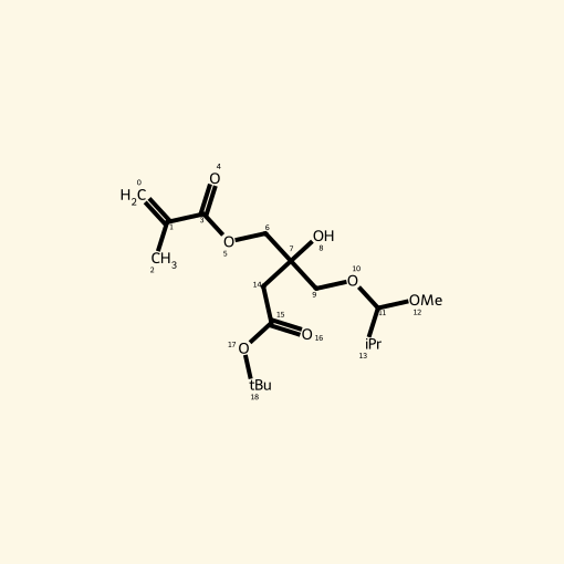 C=C(C)C(=O)OCC(O)(COC(OC)C(C)C)CC(=O)OC(C)(C)C